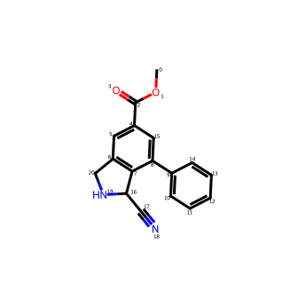 COC(=O)c1cc2c(c(-c3ccccc3)c1)C(C#N)NC2